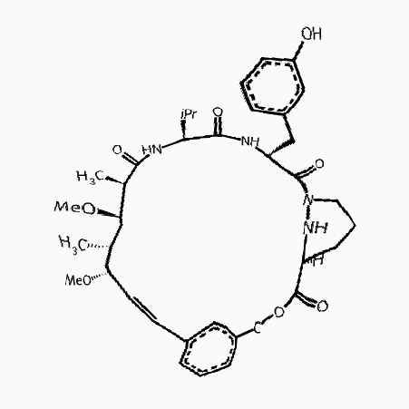 CO[C@@H]1[C@@H](C)[C@@H](OC)C=Cc2cccc(c2)COC(=O)[C@@H]2CCCN(N2)C(=O)[C@H](Cc2cccc(O)c2)NC(=O)[C@H](C(C)C)NC(=O)[C@@H]1C